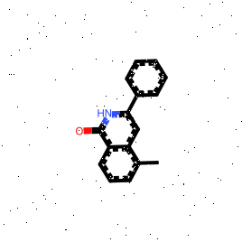 Cc1cccc2c(=O)[nH]c(-c3ccccc3)cc12